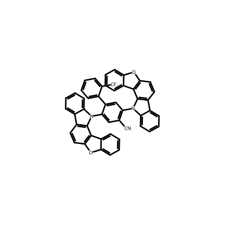 N#Cc1cc(-n2c3ccccc3c3ccc4oc5ccccc5c4c32)c(-c2ccccc2C(F)(F)F)cc1-n1c2ccccc2c2ccc3oc4ccccc4c3c21